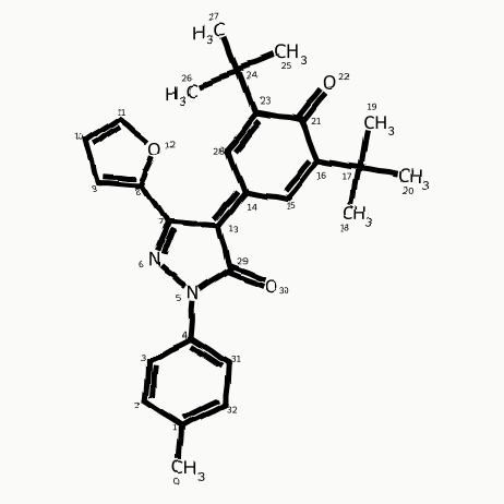 Cc1ccc(N2N=C(c3ccco3)C(=C3C=C(C(C)(C)C)C(=O)C(C(C)(C)C)=C3)C2=O)cc1